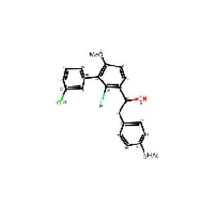 COc1ccc(C(O)Cc2ccc(NC(C)=O)cc2)c(F)c1-c1cccc(Cl)c1